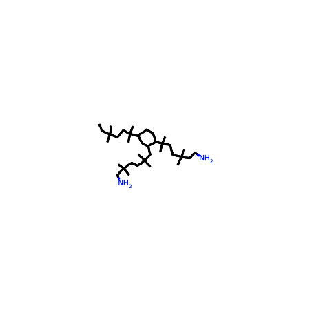 CCC(C)(C)CCC(C)(C)C1CCC(C(C)(C)CCC(C)(C)CCN)C(CC(C)(C)CCC(C)(C)CN)C1